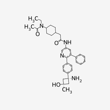 CCN(C(C)=O)C1CCC(CC(=O)Nc2cnc(-c3ccc([C@]4(N)C[C@](C)(O)C4)cc3)c(-c3ccccc3)c2)CC1